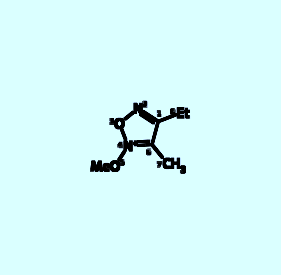 CCc1no[n+](OC)c1C